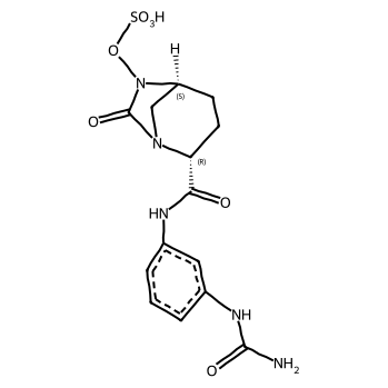 NC(=O)Nc1cccc(NC(=O)[C@H]2CC[C@H]3CN2C(=O)N3OS(=O)(=O)O)c1